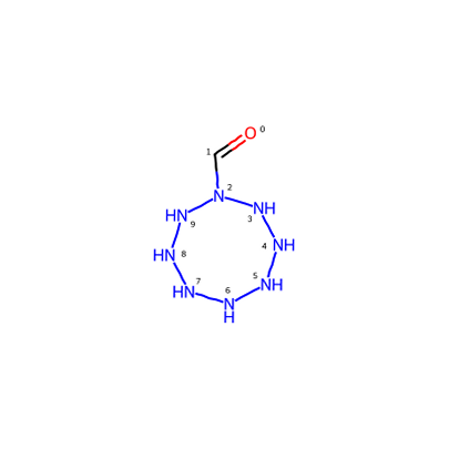 O=CN1NNNNNNN1